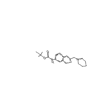 CC(C)(C)OC(=O)Nc1ccc2cc(CN3CCCCC3)ccc2c1